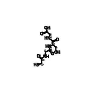 O=C(O)CNC(=O)C(CO)NC(=O)CNC(=O)CS